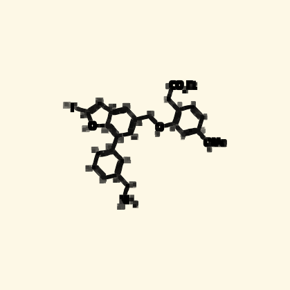 CCOC(=O)Cc1ccc(OC)cc1OCc1cc(-c2cccc(CN)c2)c2oc(F)cc2c1